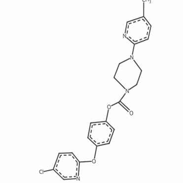 Cc1ccc(N2CCN(C(=O)Oc3ccc(Oc4ccc(Cl)cn4)cc3)CC2)nc1